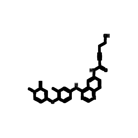 C=C1C=C(Oc2ccc(Nc3ncnc4ccc(NC(=O)C#CCCO)cc34)cc2C)C=CN1C